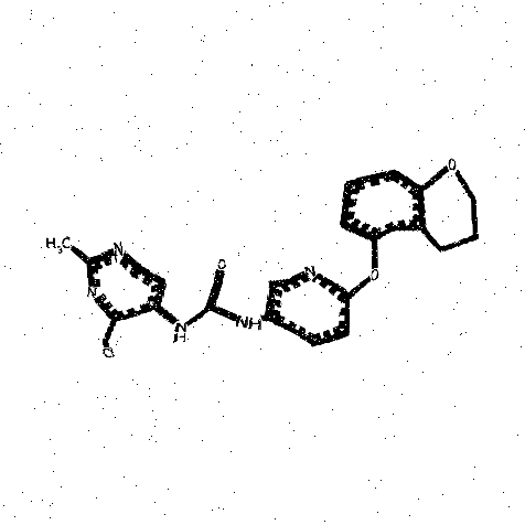 Cc1ncc(NC(=O)Nc2ccc(Oc3cccc4c3CCCO4)nc2)c(Cl)n1